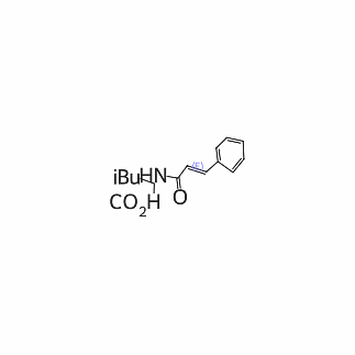 CCC(C)C(NC(=O)/C=C/c1ccccc1)C(=O)O